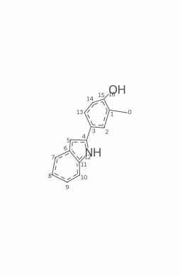 Cc1cc(-c2cc3ccccc3[nH]2)ccc1O